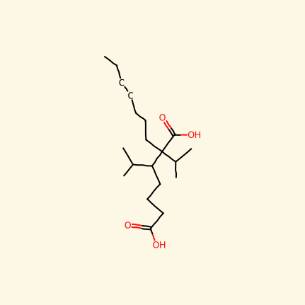 CCCCCCCC(C(=O)O)(C(C)C)C(CCCC(=O)O)C(C)C